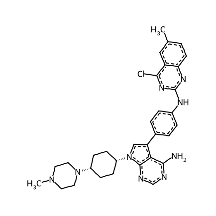 Cc1ccc2nc(Nc3ccc(-c4cn([C@H]5CC[C@@H](N6CCN(C)CC6)CC5)c5ncnc(N)c45)cc3)nc(Cl)c2c1